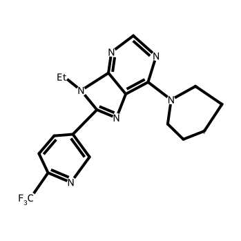 CCn1c(-c2ccc(C(F)(F)F)nc2)nc2c(N3CC[CH]CC3)ncnc21